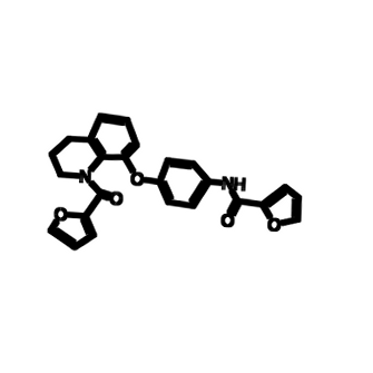 O=C(Nc1ccc(Oc2cccc3c2N(C(=O)c2ccco2)CCC3)cc1)c1ccco1